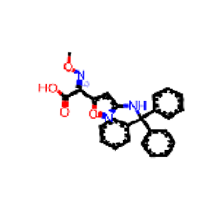 CO/N=C(\C(=O)O)c1cc(NC(c2ccccc2)(c2ccccc2)c2ccccc2)no1